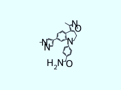 Cc1noc2c1-c1ccc(-c3cnn(C)c3)cc1N(c1ccc(C(N)=O)cc1)CC2